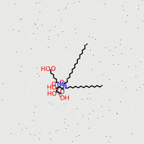 CCCCCCCCCCCCCCCCCC(=O)N(CCCCCCCCCCCCCC)[C@@H]1O[C@H](CO)[C@@H](O)[C@H](O)[C@H]1NC(=O)CCCCC(=O)O